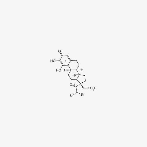 C[C@@]12C(=CC(=O)C(O)=C1O)CC[C@@H]1[C@@H]2CC[C@@]2(C)[C@H]1CC[C@]2(CC(=O)O)C(=O)C(Br)Br